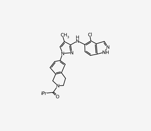 Cc1cn(-c2ccc3c(c2)CCN(C(=O)C(C)C)C3)nc1Nc1ccc2[nH]ncc2c1Cl